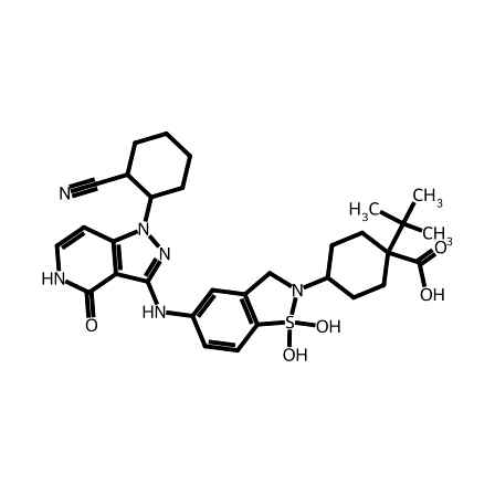 CC(C)(C)C1(C(=O)O)CCC(N2Cc3cc(Nc4nn(C5CCCCC5C#N)c5cc[nH]c(=O)c45)ccc3S2(O)O)CC1